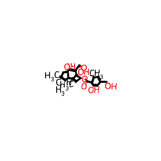 Cc1cc(CO)cc(O)c1C(=O)O[C@@H]1C[C@]2(C)[C@H]3CC(C)(C)C[C@@]3(O)C=C(C=O)[C@]12O